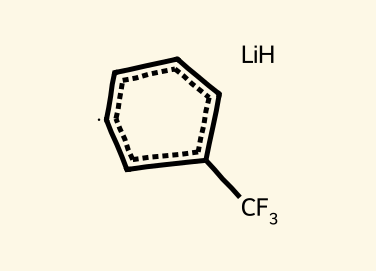 FC(F)(F)c1c[c]ccc1.[LiH]